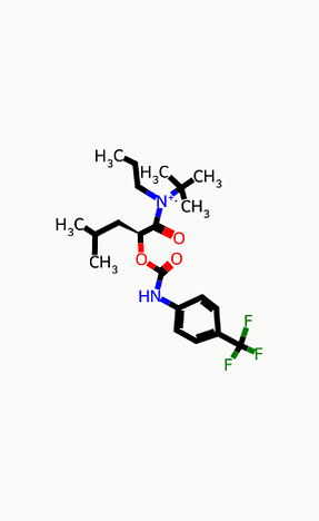 CCC[N+](C(=O)[C@H](CC(C)C)OC(=O)Nc1ccc(C(F)(F)F)cc1)C(C)(C)C